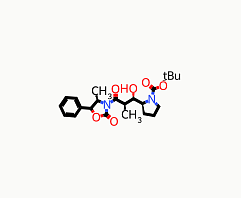 C[C@@H]1C(c2ccccc2)OC(=O)N1C(=O)[C@H](C)[C@@H](O)[C@@H]1CCCN1C(=O)OC(C)(C)C